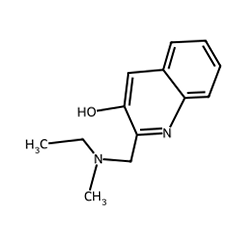 CCN(C)Cc1nc2ccccc2cc1O